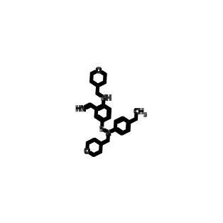 CCc1ccc(N(CC2CCOCC2)Sc2ccc(NCC3CCOCC3)c(C=N)c2)cc1